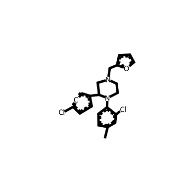 Cc1ccc(N2CCN(Cc3ccco3)CC2c2ccc(Cl)cc2)c(Cl)c1